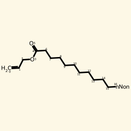 C=CCOC(=O)CCCCCCCCCCCCCCCCCCC